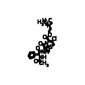 CCN(CC)CCOC(=O)C1=C(Cl)CS[C@@H]2[C@H](NC(=O)C(NC(C)=O)c3ccccc3)C(=O)N12